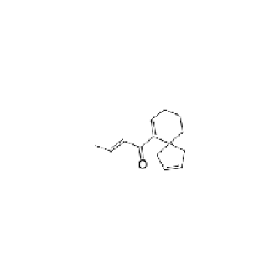 C/C=C/C(=O)C1=CCCCC12CC=CC2